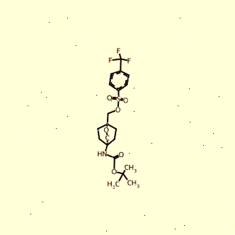 CC(C)(C)OC(=O)NC12CCC(COS(=O)(=O)c3ccc(C(F)(F)F)cc3)(CC1)OC2